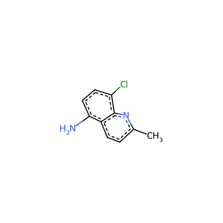 Cc1ccc2c(N)ccc(Cl)c2n1